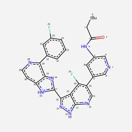 CC(C)(C)CC(=O)Nc1cncc(-c2cnc3[nH]nc(-c4nc5c(-c6cccc(F)c6)nccc5[nH]4)c3c2F)c1